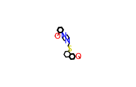 COc1ccc2c(c1)C(SCCN1CCN(c3ccccc3OC)CC1)CCC2